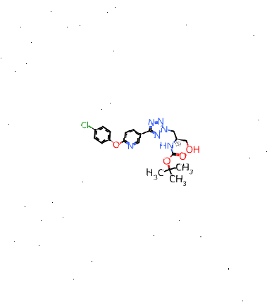 CC(C)(C)OC(=O)N[C@H](CO)Cn1nnc(-c2ccc(Oc3ccc(Cl)cc3)nc2)n1